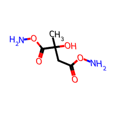 CC(O)(CC(=O)ON)C(=O)ON